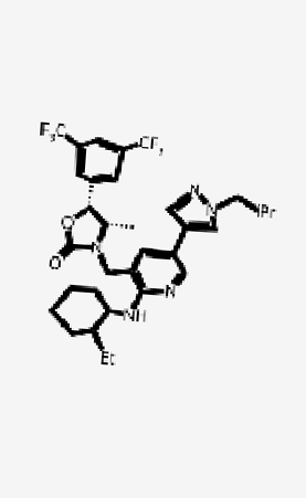 CCC1CCCCC1Nc1ncc(-c2cnn(CC(C)C)c2)cc1CN1C(=O)O[C@H](c2cc(C(F)(F)F)cc(C(F)(F)F)c2)[C@@H]1C